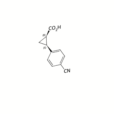 N#Cc1ccc([C@H]2C[C@H]2C(=O)O)cc1